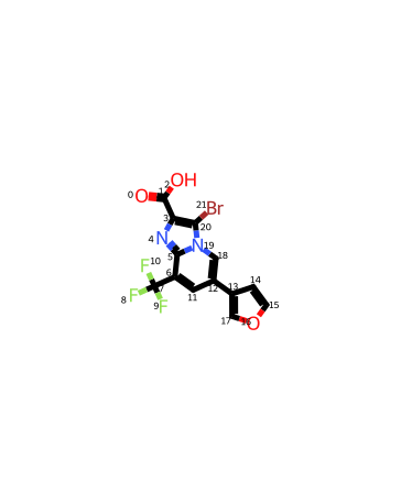 O=C(O)c1nc2c(C(F)(F)F)cc(-c3ccoc3)cn2c1Br